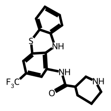 O=C(Nc1cc(C(F)(F)F)cc2c1Nc1ccccc1S2)C1CCCNC1